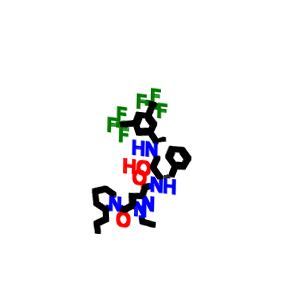 CCCC1CCCCN1C(=O)c1cc(C(=O)N[C@@H](Cc2ccccc2)[C@@H](O)CN[C@H](C)c2cc(C(F)(F)F)cc(C(F)(F)F)c2)nn1CC